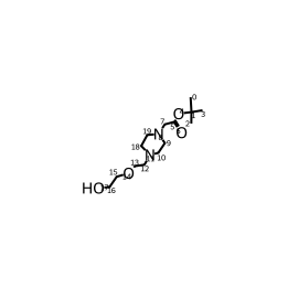 CC(C)(C)OC(=O)CN1CCN(CCOCCO)CC1